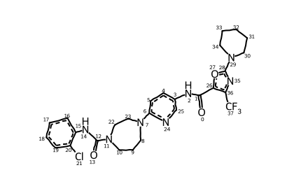 O=C(Nc1ccc(N2CCCN(C(=O)Nc3ccccc3Cl)CC2)nc1)c1oc(N2CCCCC2)nc1C(F)(F)F